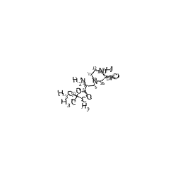 CC(C)(C)OC(=O)C(N)CN1CCNC(=O)C1